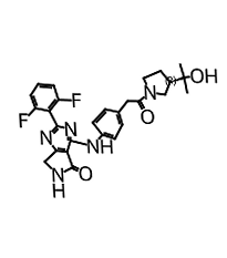 CC(C)(O)[C@@H]1CCN(C(=O)Cc2ccc(Nc3nc(-c4c(F)cccc4F)nc4c3C(=O)NC4)cc2)C1